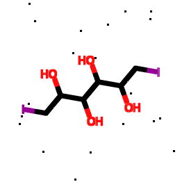 OC(CI)C(O)C(O)C(O)CI